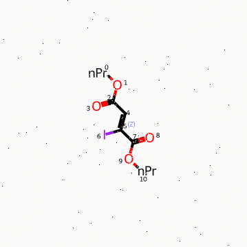 CCCOC(=O)/C=C(\I)C(=O)OCCC